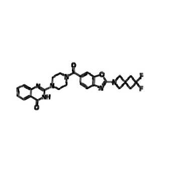 O=C(c1ccc2nc(N3CC4(C3)CC(F)(F)C4)oc2c1)N1CCN(c2nc3ccccc3c(=O)[nH]2)CC1